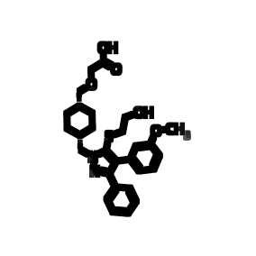 COc1cccc(-c2c(-c3ccccc3)nn(C[C@H]3CC[C@@H](COCC(=O)O)CC3)c2SCCO)c1